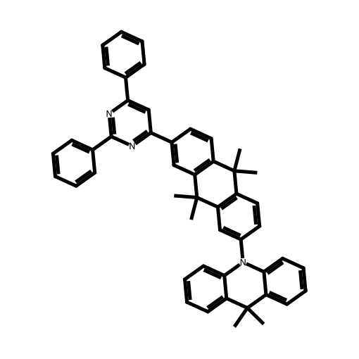 CC1(C)c2ccccc2N(c2ccc3c(c2)C(C)(C)c2cc(-c4cc(-c5ccccc5)nc(-c5ccccc5)n4)ccc2C3(C)C)c2ccccc21